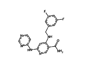 NC(=O)c1cnc(Nc2ccncn2)cc1NCc1cc(F)cc(F)c1